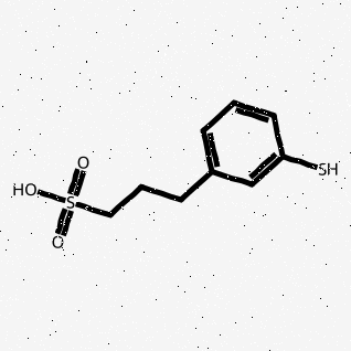 O=S(=O)(O)CCCc1cccc(S)c1